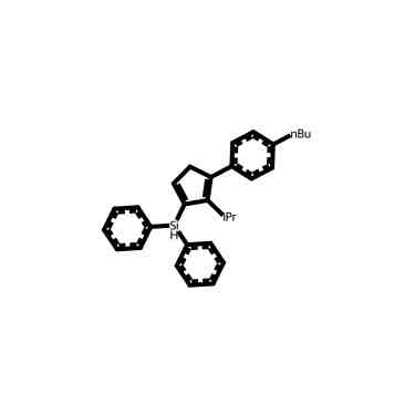 CCCCc1ccc(C2=C(C(C)C)C([SiH](c3ccccc3)c3ccccc3)=CC2)cc1